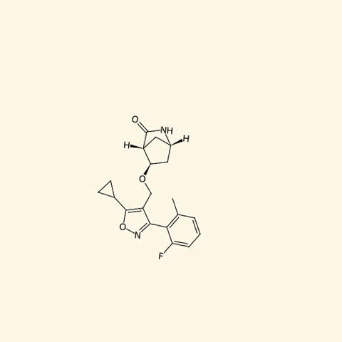 Cc1cccc(F)c1-c1noc(C2CC2)c1CO[C@@H]1C[C@@H]2C[C@H]1C(=O)N2